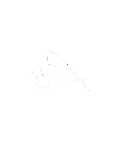 O=C(O)NCC(=O)N1CCC[C@@H](Nc2cncc(-c3cnn4ccccc34)n2)C1